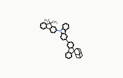 CC1(C)c2ccccc2-c2ccc(-n3c4ccccc4c4cc(-c5ccc6c(c5)-c5ccccc5C65C6CC7CC(C6)CC5C7)ccc43)cc21